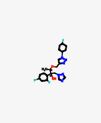 C[C@@H](OCc1cn(-c2ccc(F)cc2)nn1)[C@](O)(Cn1cncn1)c1ccc(F)cc1F